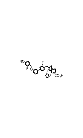 N#Cc1ccc(COc2cccc(-c3ccc(Cc4nc5ccc(C(=O)O)cc5n4C[C@H]4CCCO4)c(F)c3)c2)c(F)c1